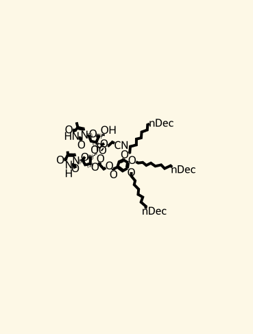 CCCCCCCCCCCCCCCCCCOc1cc(C(=O)OCC(=O)O[C@H]2C[C@H](n3cc(C)c(=O)[nH]c3=O)O[C@@H]2COP(=O)(OCCC#N)[C@H]2C[C@H](n3cc(C)c(=O)[nH]c3=O)O[C@@H]2CO)cc(OCCCCCCCCCCCCCCCCCC)c1OCCCCCCCCCCCCCCCCCC